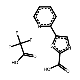 O=C(O)C(F)(F)F.O=C(O)c1ncc(-c2ccccn2)s1